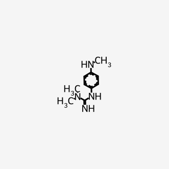 CNc1ccc(NC(=N)N(C)C)cc1